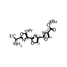 CCCc1oc(C(N)CC)nc1-c1nc(-c2nc(C(=O)OC(C)(C)C)co2)co1